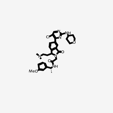 COc1cccc([C@@H](C)NC(=O)CN2C(=O)c3cc(-c4nc(NC5CCOCC5)ncc4Cl)ccc3C2CCN(C)C)c1